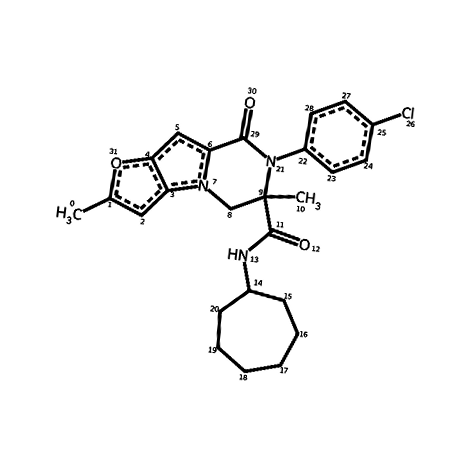 Cc1cc2c(cc3n2CC(C)(C(=O)NC2CCCCCC2)N(c2ccc(Cl)cc2)C3=O)o1